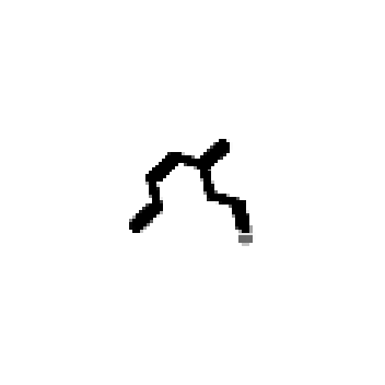 C=C/C=C\C(=C)CC=O